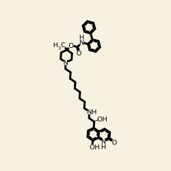 CC1(OC(=O)Nc2ccccc2-c2ccccc2)CCN(CCCCCCCCCNC[C@H](O)c2ccc(O)c3[nH]c(=O)ccc23)CC1